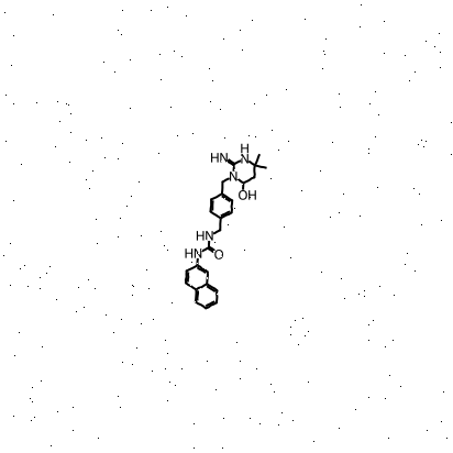 CC1(C)CC(O)N(Cc2ccc(CNC(=O)Nc3ccc4ccccc4c3)cc2)C(=N)N1